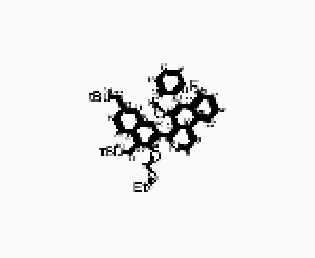 CCOCOc1c(-c2nccc3c2c(OSc2ccccc2)cc2c(F)cccc23)cc2cc(CC(C)(C)C)ccc2c1CC(C)(C)C